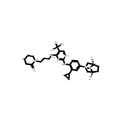 CN1[C@@H]2CC[C@H]1CN(c1ccc(Nc3ncc(C(F)(F)F)c(NCCCN4CCCCC4=O)n3)c(C3CC3)c1)C2